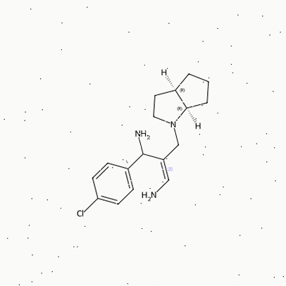 N/C=C(/CN1CC[C@H]2CCC[C@H]21)C(N)c1ccc(Cl)cc1